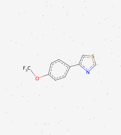 FC(F)(F)Oc1ccc(-c2cs[c]n2)cc1